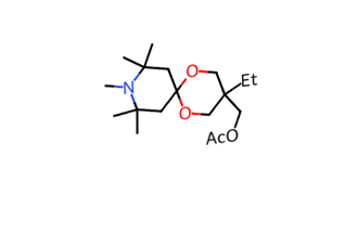 CCC1(COC(C)=O)COC2(CC(C)(C)N(C)C(C)(C)C2)OC1